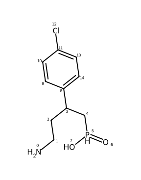 NCCC(C[PH](=O)O)c1ccc(Cl)cc1